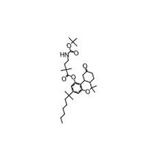 CCCCCCC(C)(C)c1cc(OC(=O)C(C)(C)CCNC(=O)OC(C)(C)C)c2c(c1)OC(C)(C)C1CCC(=O)CC21